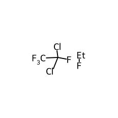 CCF.FC(F)(F)C(F)(Cl)Cl